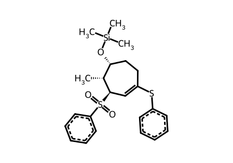 C[C@H]1[C@H](S(=O)(=O)c2ccccc2)C=C(Sc2ccccc2)CC[C@H]1O[Si](C)(C)C